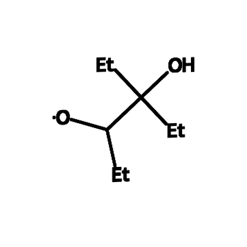 CCC([O])C(O)(CC)CC